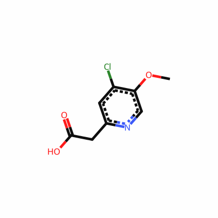 COc1cnc(CC(=O)O)cc1Cl